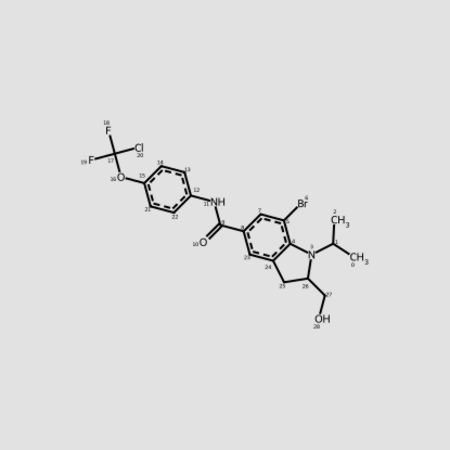 CC(C)N1c2c(Br)cc(C(=O)Nc3ccc(OC(F)(F)Cl)cc3)cc2CC1CO